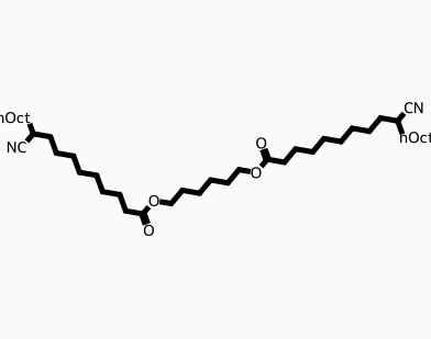 CCCCCCCCC(C#N)CCCCCCCCC(=O)OCCCCCCOC(=O)CCCCCCCCC(C#N)CCCCCCCC